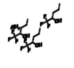 CCCC(O)C(F)(F)F.CCCC(O)C(F)(F)F.CCCC(O)C(F)(F)F.[AlH3]